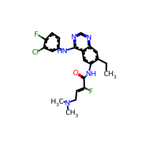 CCc1cc2ncnc(Nc3ccc(F)c(Cl)c3)c2cc1NC(=O)/C(F)=C/CN(C)C